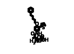 CC(C(=O)Nc1ccc(OCCCCCc2ccccc2)c(-c2cccs2)c1)C(N)OP(=O)(O)O